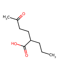 CCCC(CCC(C)=O)C(=O)O